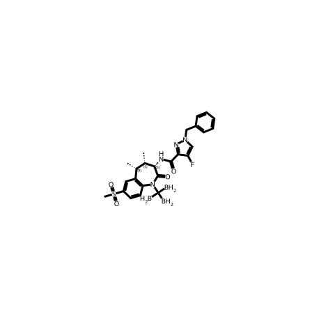 BC(B)(B)N1C(=O)[C@@H](NC(=O)c2nn(Cc3ccccc3)cc2F)[C@@H](C)[C@@H](C)c2cc(S(C)(=O)=O)ccc21